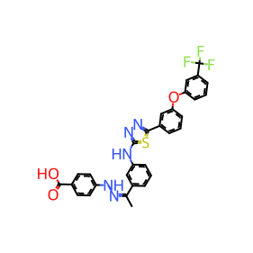 C/C(=N/Nc1ccc(C(=O)O)cc1)c1cccc(Nc2nnc(-c3cccc(Oc4cccc(C(F)(F)F)c4)c3)s2)c1